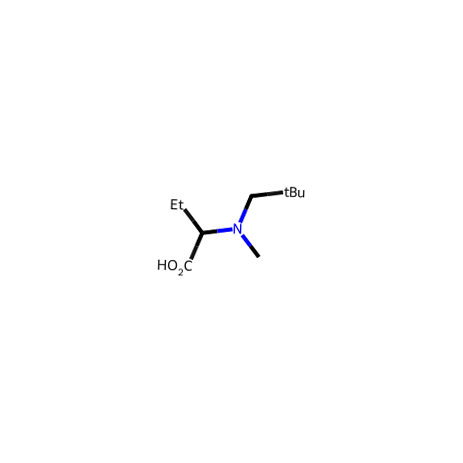 CCC(C(=O)O)N(C)CC(C)(C)C